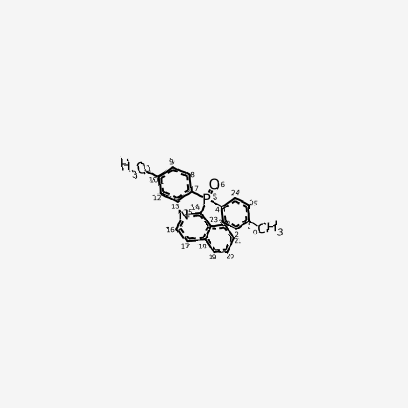 Cc1ccc(P(=O)(c2ccc(C)cc2)c2nccc3ccccc23)cc1